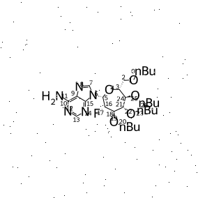 CCCCOC[C@H]1O[C@@H](n2cnc3c(N)ncnc32)[C@@H](F)[C@H](OCCCC)[C@@H](OCCCC)[C@@H]1OCCCC